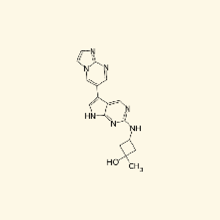 CC1(O)CC(Nc2ncc3c(-c4cnc5nccn5c4)c[nH]c3n2)C1